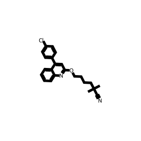 CC(C)(C#N)CCCCOc1cc(-c2ccc(Cl)cc2)c2ccccc2n1